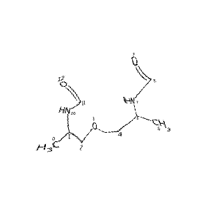 CC(COCC(C)NC=O)NC=O